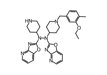 CCOc1cc(CN2CCC(N(c3nc4ncccc4o3)N(c3nc4ncccc4o3)C3CCNCC3)CC2)ccc1C